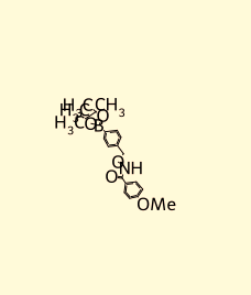 COc1ccc(C(=O)NOCc2ccc(B3OC(C)(C)C(C)(C)O3)cc2)cc1